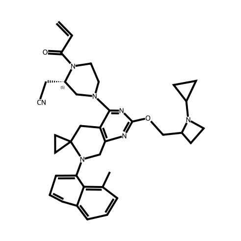 C=CC(=O)N1CCN(c2nc(OCC3CCN3C3CC3)nc3c2CC2(CC2)N(c2cccc4cccc(C)c24)C3)C[C@@H]1CC#N